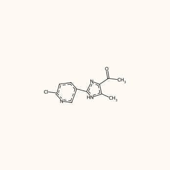 CC(=O)c1nc(-c2ccc(Cl)nc2)[nH]c1C